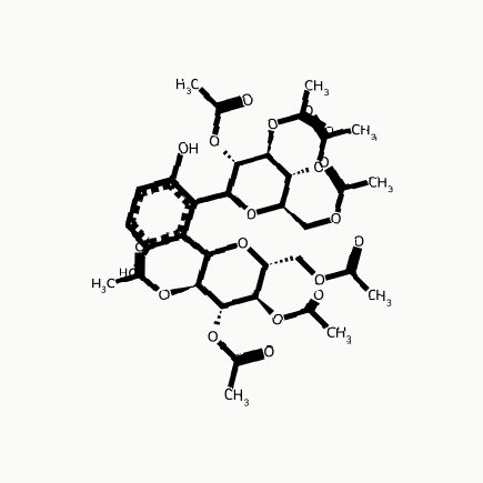 CC(=O)OC[C@H]1OC(c2c(O)ccc(O)c2C2O[C@H](COC(C)=O)[C@@H](OC(C)=O)[C@H](OC(C)=O)[C@H]2OC(C)=O)[C@H](OC(C)=O)[C@@H](OC(C)=O)[C@@H]1OC(C)=O